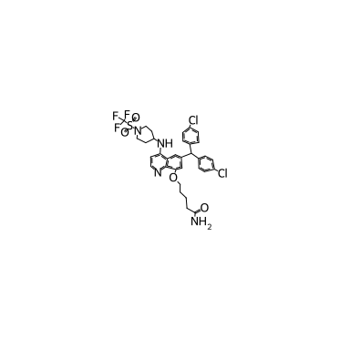 NC(=O)CCCCOc1cc(C(c2ccc(Cl)cc2)c2ccc(Cl)cc2)cc2c(NC3CCN(S(=O)(=O)C(F)(F)F)CC3)ccnc12